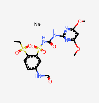 CCS(=O)(=O)c1ccc(NC=O)cc1S(=O)(=O)NC(=O)Nc1nc(OC)cc(OC)n1.[Na]